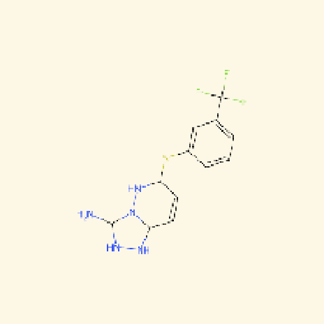 NC1NNC2C=CC(Sc3cccc(C(F)(F)F)c3)NN12